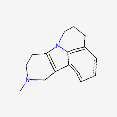 CN1CCc2c(c3cccc4c3n2CCC4)C1